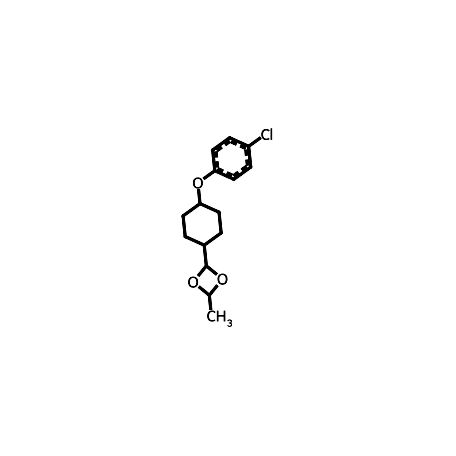 CC1OC(C2CCC(Oc3ccc(Cl)cc3)CC2)O1